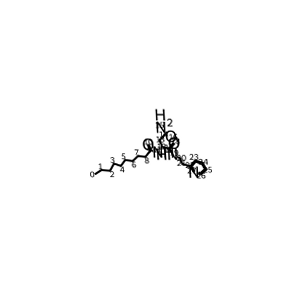 CCCCCCCCCC(=O)NC(CC(N)=O)C(=O)NCCc1ccccn1